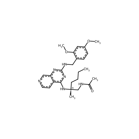 CCCC[C@](C)(CNC(C)=O)Nc1nc(NCc2ccc(OC)cc2OC)nc2cnccc12